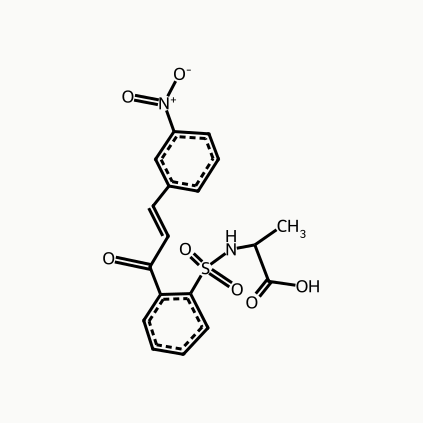 CC(NS(=O)(=O)c1ccccc1C(=O)C=Cc1cccc([N+](=O)[O-])c1)C(=O)O